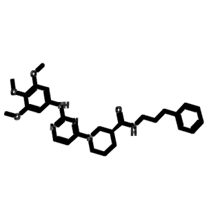 COc1cc(Nc2nccc(N3CCC[C@H](C(=O)NCCCc4ccccc4)C3)n2)cc(OC)c1OC